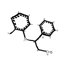 Cc1ccccc1OC(CC=O)c1ccccc1